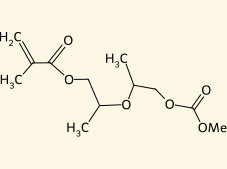 C=C(C)C(=O)OCC(C)OC(C)COC(=O)OC